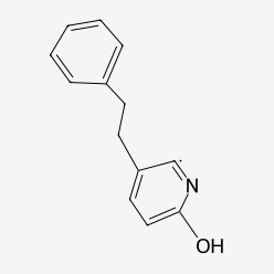 Oc1ccc(CCc2ccccc2)[c]n1